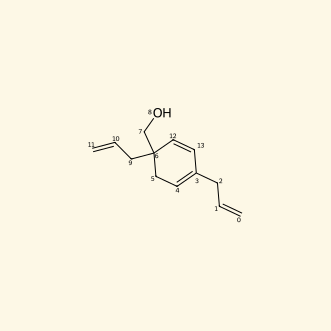 C=CCC1=CCC(CO)(CC=C)C=C1